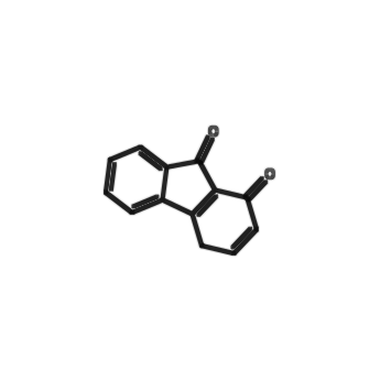 O=C1C=CCC2=C1C(=O)c1ccccc12